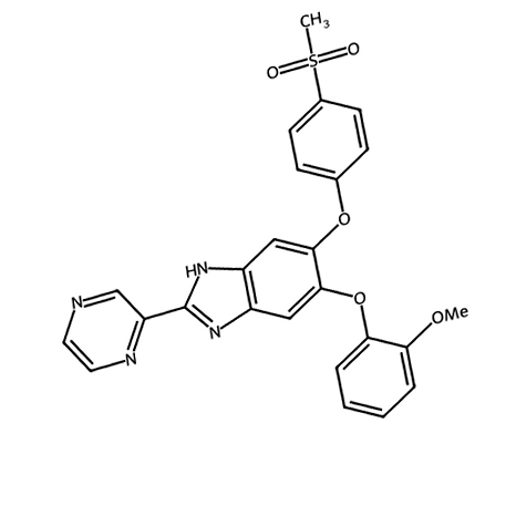 COc1ccccc1Oc1cc2nc(-c3cnccn3)[nH]c2cc1Oc1ccc(S(C)(=O)=O)cc1